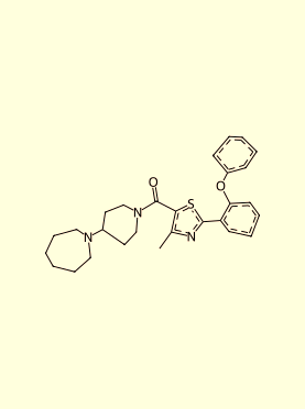 Cc1nc(-c2ccccc2Oc2ccccc2)sc1C(=O)N1CCC(N2CCCCCC2)CC1